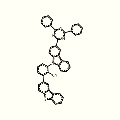 N#Cc1c(-c2ccc3sc4ccccc4c3c2)cccc1-n1c2ccccc2c2cc(-c3nc(-c4ccccc4)nc(-c4ccccc4)n3)ccc21